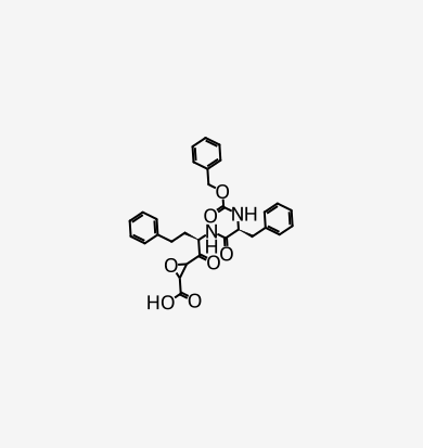 O=C(N[C@@H](Cc1ccccc1)C(=O)N[C@H](CCc1ccccc1)C(=O)C1OC1C(=O)O)OCc1ccccc1